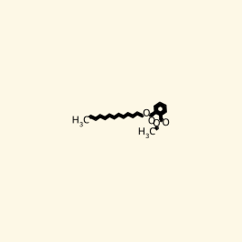 CCCCCCCCCCCCCOC(=O)c1ccccc1C(=O)OCC